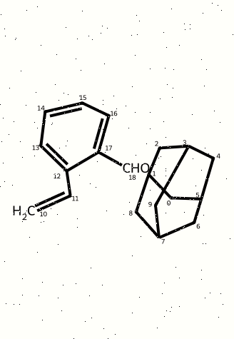 C1C2CC3CC1CC(C2)C3.C=Cc1ccccc1C=O